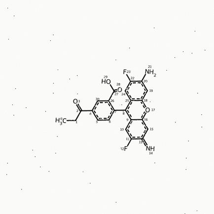 CCC(=O)c1ccc(-c2c3cc(F)c(=N)cc-3oc3cc(N)c(F)cc23)c(C(=O)O)c1